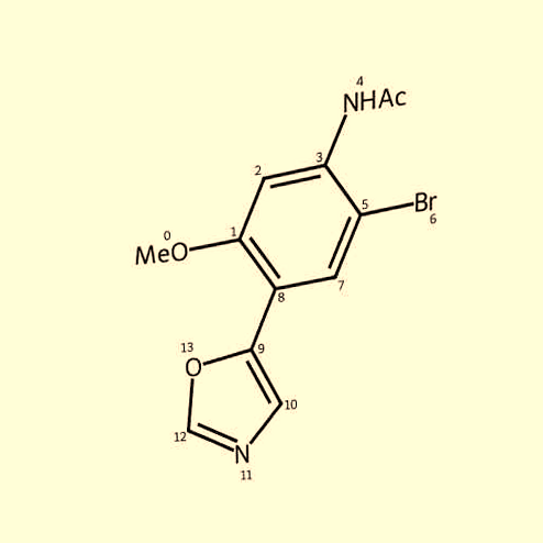 COc1cc(NC(C)=O)c(Br)cc1-c1cnco1